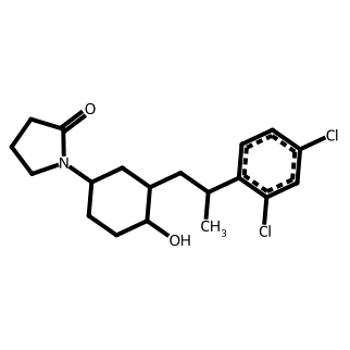 CC(CC1CC(N2CCCC2=O)CCC1O)c1ccc(Cl)cc1Cl